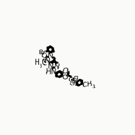 Cc1ccc(S(=O)(=O)OCC2COc3cc(Nc4ncc5c(n4)N(C)C(=O)N(c4ccccc4Br)C5)ccc3O2)cc1